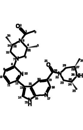 CC(=O)N1[C@H](C)CN(c2cccc(-c3c[nH]c4ncc(C(=O)N5C[C@@H](C)N[C@@H](C)C5)cc34)n2)C[C@@H]1C